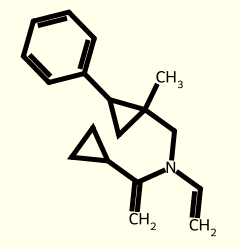 C=CN(CC1(C)CC1c1ccccc1)C(=C)C1CC1